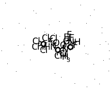 Cc1cc(NC(=O)[C@H]2[C@H](c3cc(Cl)c(Cl)c(Cl)c3)C2(Cl)Cl)cc(C(=O)Nc2ccc(F)c(NC(=O)C(F)(F)F)c2F)c1Cl